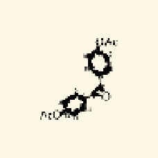 CC(=O)Oc1ccc([C@H]2O[C@@H]2c2ccc(OC(C)=O)cc2)cc1